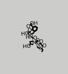 CCN1CCN(C(=O)N2C[C@@H](O)C[C@@H]2C(=O)NC2Cc3cccc(C(=O)O)c3OB2O)C(=O)C1=O